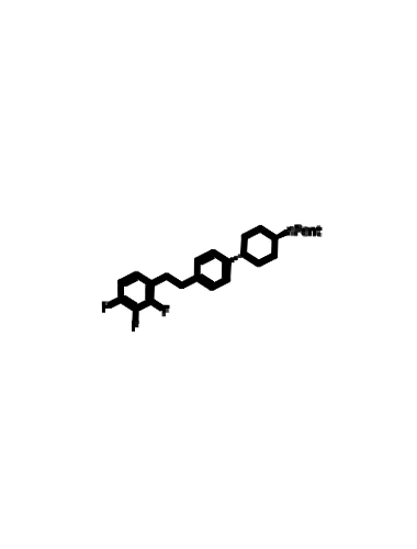 CCCCC[C@H]1CC[C@H](c2ccc(CCc3ccc(F)c(F)c3F)cc2)CC1